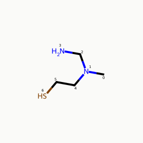 CN(CN)CCS